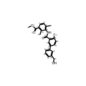 COC(=O)c1ccc(C)c(NC(=O)c2cc(-c3cccc(CO)c3)ccc2F)c1C